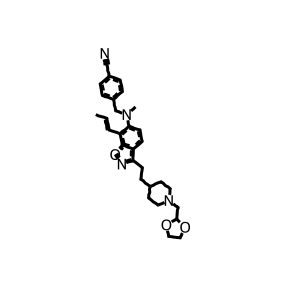 C/C=C/c1c(N(C)Cc2ccc(C#N)cc2)ccc2c(CCC3CCN(CC4OCCO4)CC3)noc12